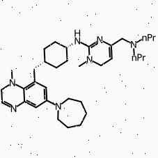 CCCN(CCC)CC1=CCN(C)C(N[C@H]2CC[C@@H](Cc3cc(N4CCCCCC4)cc4c3N(C)CC=N4)CC2)=N1